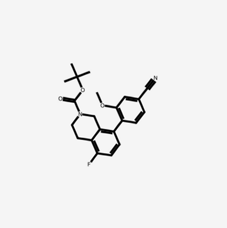 COc1cc(C#N)ccc1-c1ccc(F)c2c1CN(C(=O)OC(C)(C)C)CC2